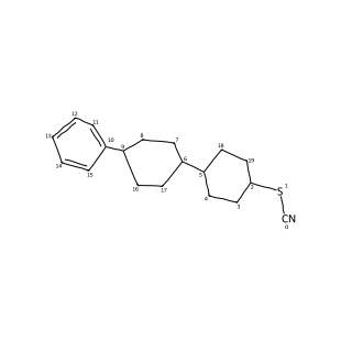 N#CSC1CCC(C2CCC(c3ccccc3)CC2)CC1